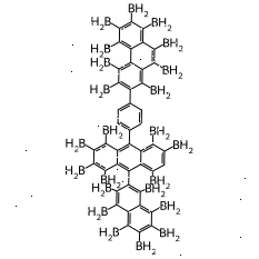 Bc1cc(B)c2c(-c3c(B)c(B)c4c(B)c(B)c(B)c(B)c4c3B)c3c(B)c(B)c(B)c(B)c3c(-c3ccc(-c4c(B)c(B)c5c(c4B)c(B)c(B)c4c(B)c(B)c(B)c(B)c45)cc3)c2c1B